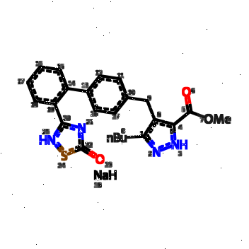 CCCCc1n[nH]c(C(=O)OC)c1Cc1ccc(-c2ccccc2-c2nc(=O)s[nH]2)cc1.[NaH]